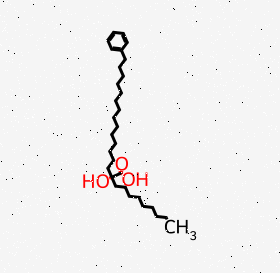 CCCCCCCCCC(O)(CCCCCCCCCCCCCCc1ccccc1)C(=O)O